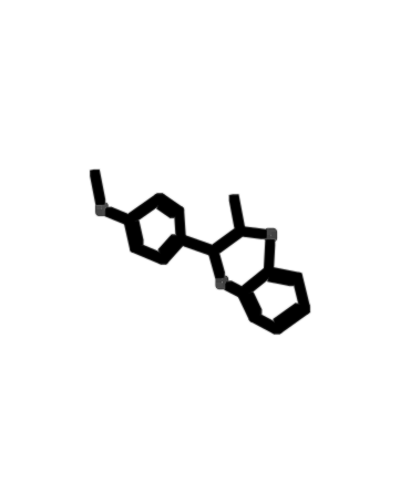 COc1ccc(C2Oc3ccccc3OC2C)cc1